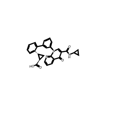 O=C(NC1CC1)c1cn(-c2cccc(-c3ccccc3[C@@H]3C[C@H]3C(=O)O)c2)c2ncccc2c1=O